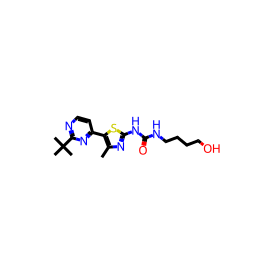 Cc1nc(NC(=O)NCCCCO)sc1-c1ccnc(C(C)(C)C)n1